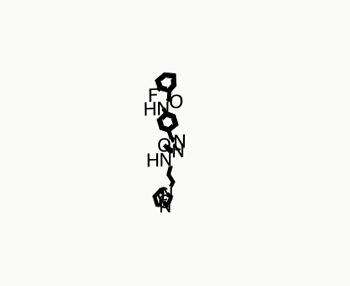 O=C(Nc1ccc(-c2nnc(NCCCN3CCN4CCC3CC4)o2)cc1)c1ccccc1F